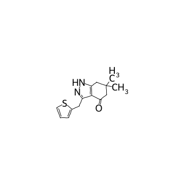 CC1(C)CC(=O)c2c(Cc3cccs3)n[nH]c2C1